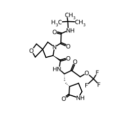 CC(C)(C)NC(=O)C(=O)N1CC2(COC2)C[C@@H]1C(=O)N[C@@H](C[C@@H]1CCNC1=O)C(=O)COC(F)(F)F